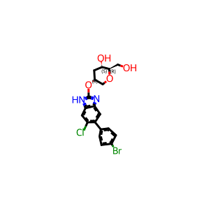 OC[C@H]1OC[C@H](Oc2nc3cc(-c4ccc(Br)cc4)c(Cl)cc3[nH]2)C[C@@H]1O